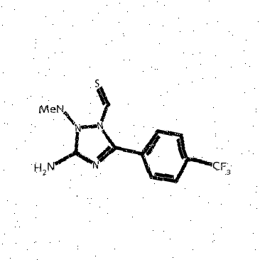 CNN1C(N)N=C(c2ccc(C(F)(F)F)cc2)N1C=S